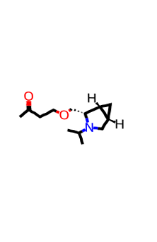 CC(=O)CCOC[C@@H]1[C@@H]2C[C@@H]2CN1C(C)C